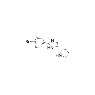 Brc1ccc(-c2ncc([C@@H]3CCCN3)[nH]2)cc1